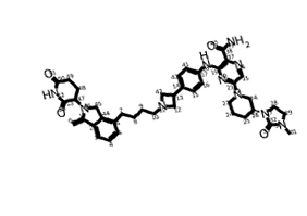 C=C1c2cccc(CCCCN3CC(c4ccc(Nc5nc(N6CCC[C@@H](N7CCN(C)C7=O)C6)cnc5C(N)=O)cc4)C3)c2CN1C1CCC(=O)NC1=O